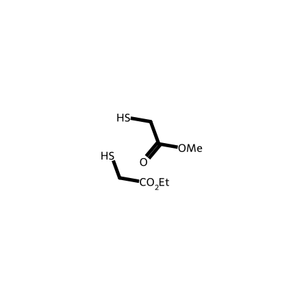 CCOC(=O)CS.COC(=O)CS